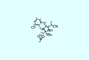 CC(C#N)C1=C(Sc2cccc(Cl)c2)N(C)C(CO[SiH](C)C)(C(C)(C)C)N1